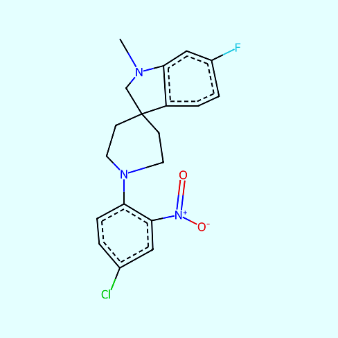 CN1CC2(CCN(c3ccc(Cl)cc3[N+](=O)[O-])CC2)c2ccc(F)cc21